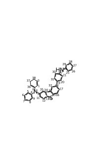 C1=CC(N(c2ccccc2)c2ccc3sc4ccc(-c5ccc(Nc6ccccc6)cc5)cc4c3c2)=CCC1